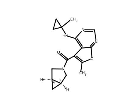 Cc1oc2ncnc(NC3(C)CC3)c2c1C(=O)N1C[C@H]2C[C@H]2C1